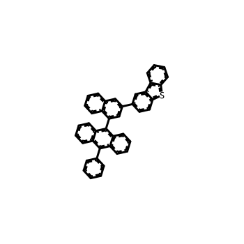 c1ccc(-c2c3ccccc3c(-c3cc(-c4ccc5sc6ccccc6c5c4)cc4ccccc34)c3ccccc23)cc1